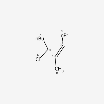 CC=CCCC.CCCCCCl